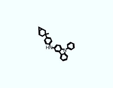 CC1(c2ccc(Nc3ccc4c(c3)c3ccccc3n4-c3ccccc3)cc2)CC=C2CC2C1